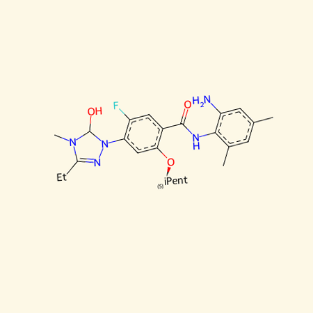 CCC[C@H](C)Oc1cc(N2N=C(CC)N(C)C2O)c(F)cc1C(=O)Nc1c(C)cc(C)cc1N